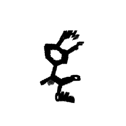 COC(=O)[C@@H](C)c1ccc(N)c(F)c1